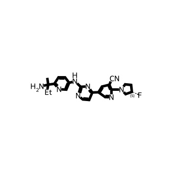 CCC(C)(N)c1ccc(Nc2nccc(-c3cnc(N4CC[C@H](F)C4)c(C#N)c3)n2)cn1